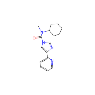 CN(C(=O)n1cnc(-c2ccccn2)c1)C1CCCCC1